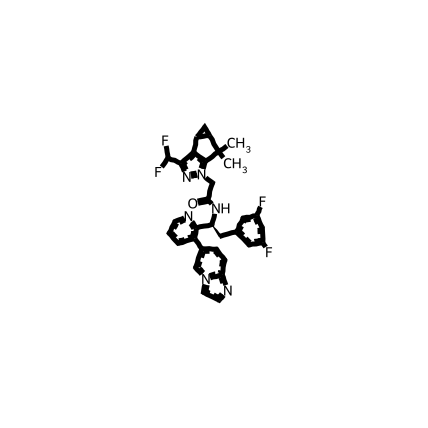 CC1(C)c2c(c(C(F)F)nn2CC(=O)N[C@@H](Cc2cc(F)cc(F)c2)c2ncccc2-c2ccc3nccn3c2)C2CC21